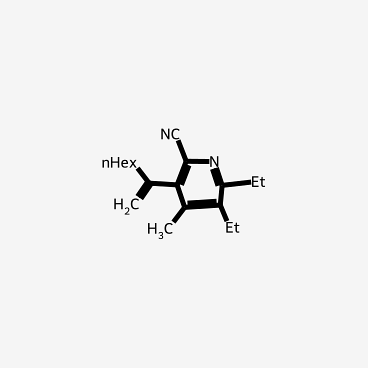 C=C(CCCCCC)c1c(C#N)nc(CC)c(CC)c1C